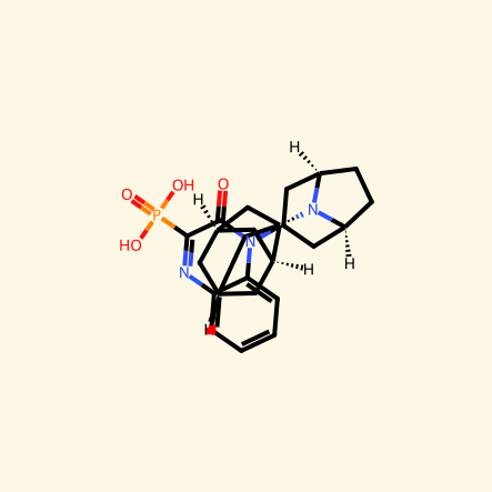 O=c1c(P(=O)(O)O)nc2ccccc2n1[C@H]1C[C@H]2CC[C@@H](C1)N2[C@]12C[C@@H]3C[C@@H](C[C@H]1C3)C2